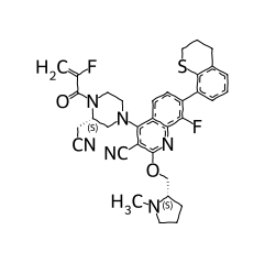 C=C(F)C(=O)N1CCN(c2c(C#N)c(OC[C@@H]3CCCN3C)nc3c(F)c(-c4cccc5c4SCCC5)ccc23)C[C@@H]1CC#N